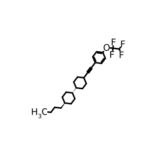 CCCC[C@H]1CC[C@H](C2CCC(C#Cc3ccc(OC(F)(F)C(F)F)cc3)CC2)CC1